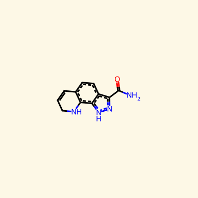 NC(=O)c1n[nH]c2c3c(ccc12)C=CCN3